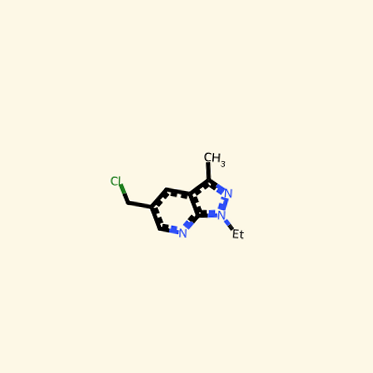 CCn1nc(C)c2cc(CCl)cnc21